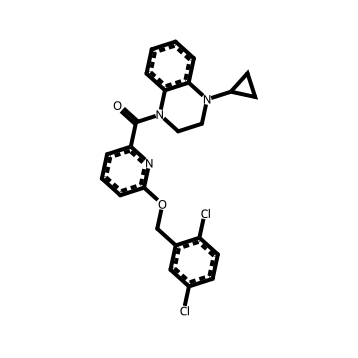 O=C(c1cccc(OCc2cc(Cl)ccc2Cl)n1)N1CCN(C2CC2)c2ccccc21